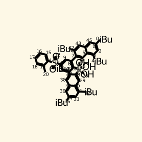 CCC(C)c1cc(C(C)CC)c2cc(-c3cc(S(=O)(=O)c4ccccc4C)ccc3P(O)(O)(O)c3cc4c(C(C)CC)cc(C(C)CC)cc4cc3C(C)CC)c(C(C)CC)cc2c1